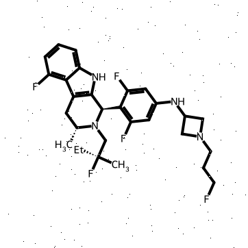 CC[C@](C)(F)CN1[C@H](c2c(F)cc(NC3CN(CCCF)C3)cc2F)c2[nH]c3cccc(F)c3c2C[C@H]1C